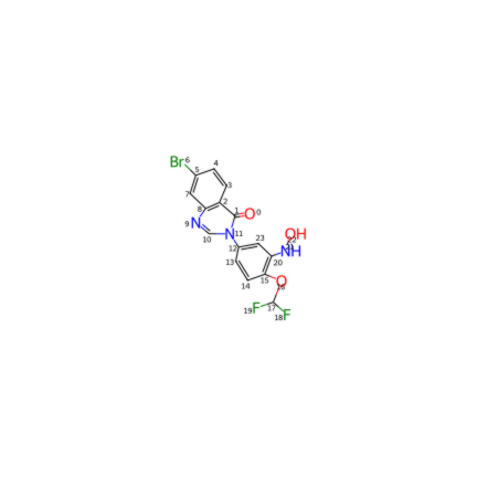 O=c1c2ccc(Br)cc2ncn1-c1ccc(OC(F)F)c(NO)c1